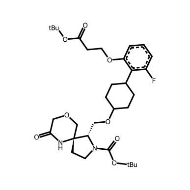 CC(C)(C)OC(=O)CCOc1cccc(F)c1C1CCC(OC[C@@H]2N(C(=O)OC(C)(C)C)CC[C@@]23COCC(=O)N3)CC1